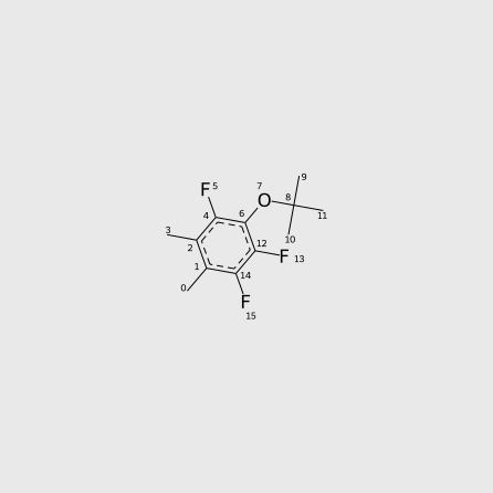 Cc1c(C)c(F)c(OC(C)(C)C)c(F)c1F